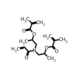 C=CC(=O)N(CC(C)OC(=O)C(=C)C)CC(C)OC(=O)C(=C)C